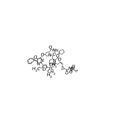 Cc1oc(C(C)(C)C)cc1-c1nc(O[C@@H]2C[C@@H](C(N)=O)N(C(=O)[C@H](CCCCC/C=C\[C@@H]3C[C@@H]3C(=O)NS(=O)(=O)C3CC3)NC(=O)OC3CCCC3)C2)c2oc3ccccc3c2n1